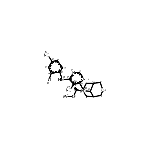 CC(C)OC(=O)N1CC2COCC(C1)C2Oc1ncnc(Nc2ccc(C#N)cc2Cl)c1C#N